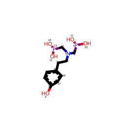 Oc1ccc(CCN(CP(O)O)CP(O)O)cc1